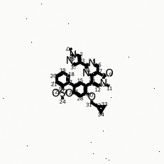 Cn1cc(-c2ncc3c(=O)n(C)cc(-c4cc(-c5ccccc5S(C)(=O)=O)ccc4OCC4CC4)c3n2)cn1